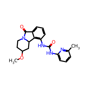 COC1CCN2C(=O)c3cccc(NC(=O)Nc4cccc(C)n4)c3C2C1